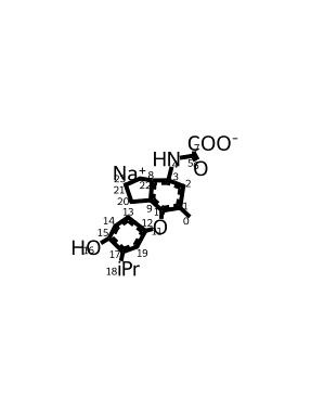 Cc1cc(NC(=O)C(=O)[O-])c2c(c1Oc1ccc(O)c(C(C)C)c1)CCC2.[Na+]